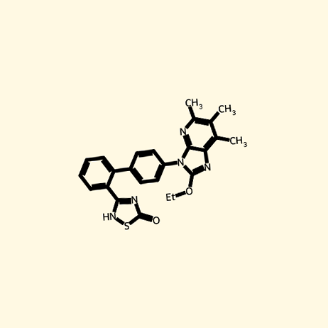 CCOc1nc2c(C)c(C)c(C)nc2n1-c1ccc(-c2ccccc2-c2nc(=O)s[nH]2)cc1